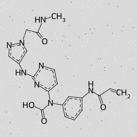 C=CC(=O)Nc1cccc(N(C(=O)O)c2ccnc(Nc3cnn(CC(=O)NC)c3)n2)c1